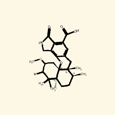 COC1C[C@@]23Oc4c(cc(C(=O)O)c5c4CNC5=O)C[C@]2(C)[C@@H](C)CC[C@H]3C(C)(C)C1Br